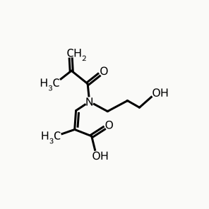 C=C(C)C(=O)N(C=C(C)C(=O)O)CCCO